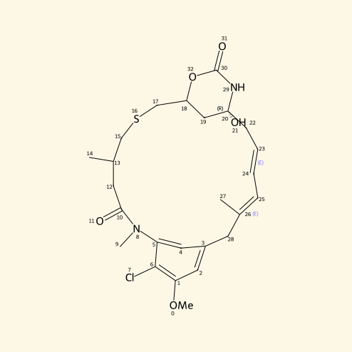 COc1cc2cc(c1Cl)N(C)C(=O)CC(C)CSCC1C[C@](O)(C/C=C/C=C(\C)C2)NC(=O)O1